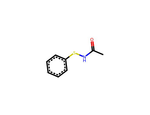 CC(=O)NSc1cc[c]cc1